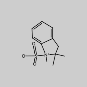 CC1(C)Cc2ccccc2[N+]1(C)S(=O)(=O)[O-]